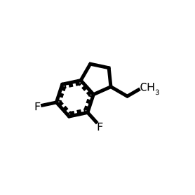 CCC1CCc2cc(F)cc(F)c21